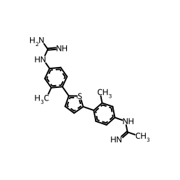 CC(=N)Nc1ccc(-c2ccc(-c3ccc(NC(=N)N)cc3C)s2)c(C)c1